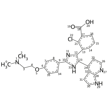 CN(C)CCOc1ccc(-c2nc(-c3cccc(C(=O)O)c3Cl)c(-c3ccnc4[nH]ccc34)[nH]2)cc1